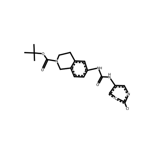 CC(C)(C)OC(=O)N1CCc2cc(NC(=O)Nc3ccc(Cl)nc3)ccc2C1